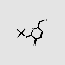 CC(C)(C)OC1OC(CO)C=CC1=O